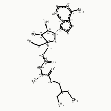 CCC(CC)COC(=O)[C@H](C)N[PH](=O)OC[C@@]1(CF)O[C@@H](c2ccc3c(N)ncnn23)[C@H](O)[C@@H]1O